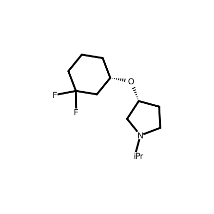 CC(C)N1CC[C@@H](O[C@H]2CCCC(F)(F)C2)C1